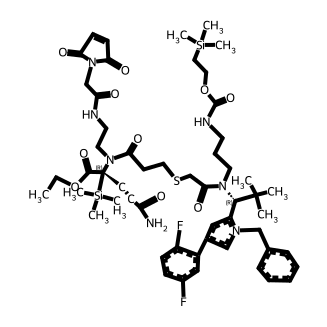 CCOC(=O)[C@](CCC(N)=O)(N(CCNC(=O)CN1C(=O)C=CC1=O)C(=O)CCSCC(=O)N(CCCNC(=O)OCC[Si](C)(C)C)[C@@H](c1cc(-c2cc(F)ccc2F)cn1Cc1ccccc1)C(C)(C)C)[Si](C)(C)C